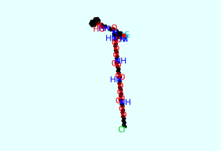 O=C(NCCOCCOCCOC(=O)NCCOCCOCCCCCCCl)OC/C=C/COC(=O)NCCOCCOCCOC(=O)NCCN(Cc1ccc(/N=N\C(F)(F)F)cc1)C(=O)CCNCC(O)COc1cccc2ccccc12